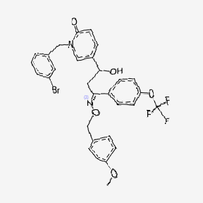 COc1ccc(CO/N=C(/CC(O)c2ccc(=O)n(Cc3cccc(Br)c3)c2)c2ccc(OC(F)(F)F)cc2)cc1